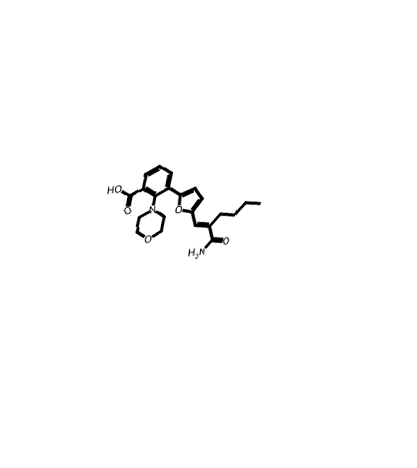 CCCC/C(=C\c1ccc(-c2cccc(C(=O)O)c2N2CCOCC2)o1)C(N)=O